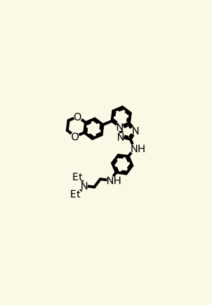 CCN(CC)CCNc1ccc(Nc2nc3cccc(-c4ccc5c(c4)OCCO5)n3n2)cc1